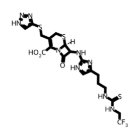 O=C(O)C1=C(CSc2c[nH]nn2)CS[C@H]2C(Nc3nc(CCCNC(=S)NCC(F)(F)F)c[nH]3)C(=O)N12